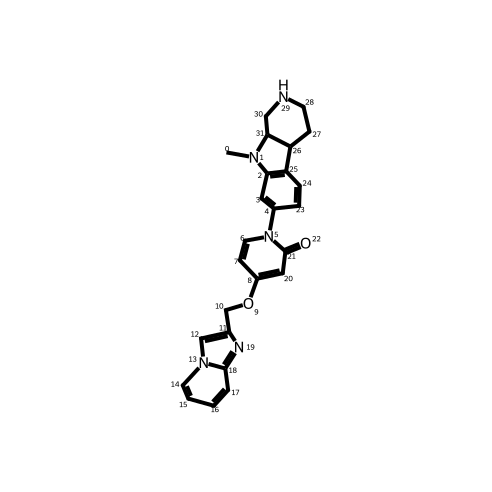 CN1c2cc(-n3ccc(OCc4cn5ccccc5n4)cc3=O)ccc2C2CCNCC21